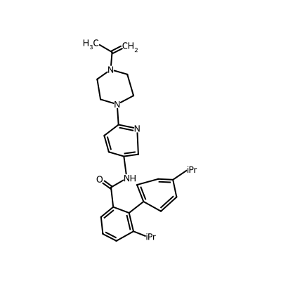 C=C(C)N1CCN(c2ccc(NC(=O)c3cccc(C(C)C)c3-c3ccc(C(C)C)cc3)cn2)CC1